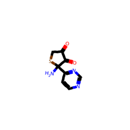 NC1(c2ccn[c]n2)SCC(=O)C1=O